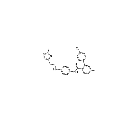 Cc1ccc(C(=O)Nc2ccc(NCCc3csc(C)n3)cc2)c(-c2ccc(Cl)cc2)c1